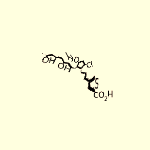 C[C@@H](O)CCC[C@H](O)/C=C/[C@@H]1[C@@H](CCCc2csc(C(=O)O)c2)[C@H](Cl)C[C@H]1O